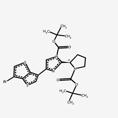 CC(C)(C)OC(=O)N1CCC[C@@H]1c1nc(-c2csc3c(Br)csc23)cn1C(=O)OC(C)(C)C